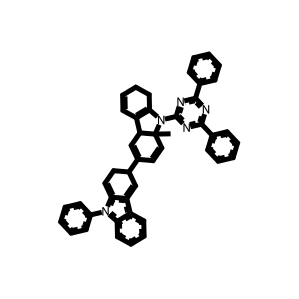 CC12C=CC(C3C=c4c(n(-c5ccccc5)c5ccccc45)=CC3)=CC1C1=C(CCC=C1)N2c1nc(-c2ccccc2)nc(-c2ccccc2)n1